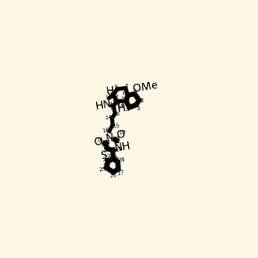 COc1cccc2c1CC[C@H]1CNC(CCCCn3c(=O)[nH]c4c(sc5ccccc54)c3=O)[C@@H]21